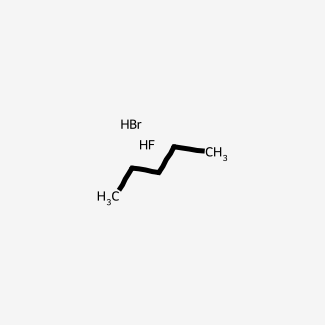 Br.CCCCC.F